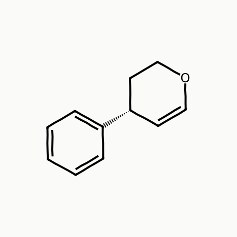 C1=C[C@H](c2ccccc2)CCO1